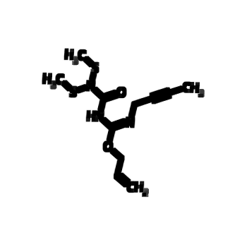 C=CCOC(=NCC#CC)NC(=O)N(SC)SC